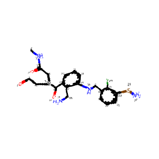 CNC(=O)CB(CC=O)C(=O)c1cccc(NCc2cccc(SN)c2F)c1CN